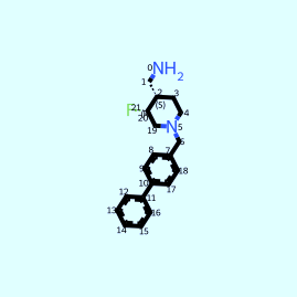 NC[C@@H]1CCN(Cc2ccc(-c3ccccc3)cc2)C[C@@H]1F